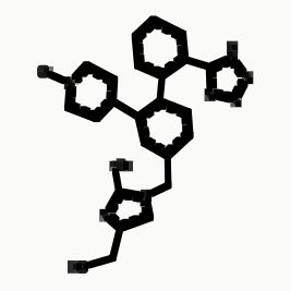 CCCCc1nc(CO)cn1Cc1ccc(-c2ccccc2-c2nnn[nH]2)c(-c2cc[n+]([O-])cc2)c1